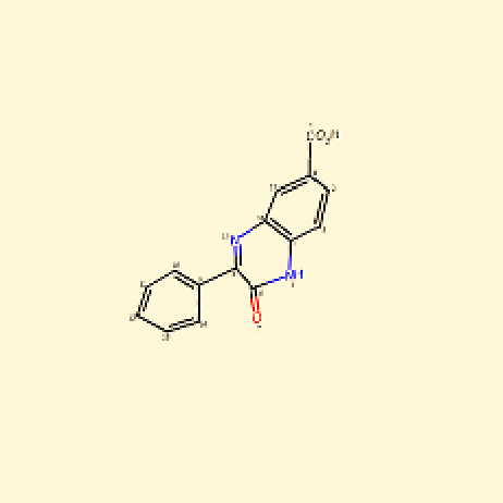 O=C(O)c1ccc2[nH]c(=O)c(-c3ccccc3)nc2c1